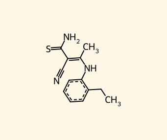 CCc1ccccc1NC(C)=C(C#N)C(N)=S